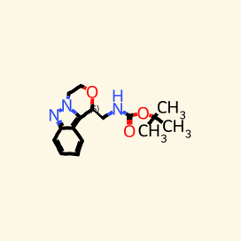 CC(C)(C)OC(=O)NC[C@@H]1OCCn2nc3ccccc3c21